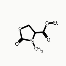 CCOC(=O)C1CSC(=O)N1C